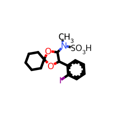 CN(C1OC2(CCCCC2)OC1c1ccccc1I)S(=O)(=O)O